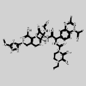 CCN1CCN(C(=O)NC(C(=O)N[C@]2(NC=O)C(=O)N3C(C(=O)O)=C(CSc4nnc(OC)s4)CS[C@@H]32)c2ccc(OC(C)=O)c(OC(C)=O)c2)C(=O)C1=O